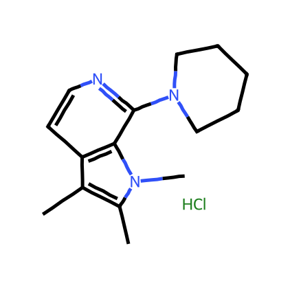 Cc1c(C)n(C)c2c(N3CCCCC3)nccc12.Cl